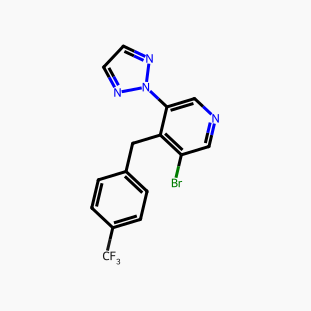 FC(F)(F)c1ccc(Cc2c(Br)cncc2-n2nccn2)cc1